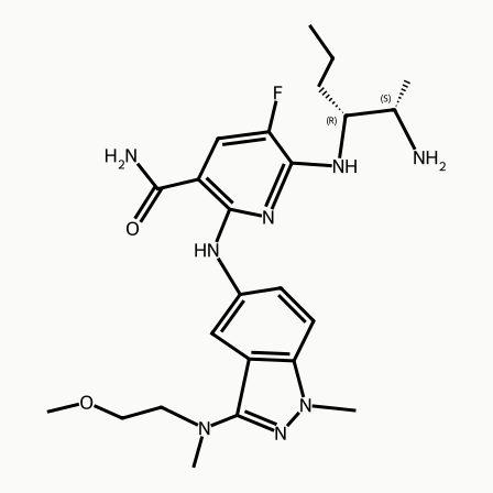 CCC[C@@H](Nc1nc(Nc2ccc3c(c2)c(N(C)CCOC)nn3C)c(C(N)=O)cc1F)[C@H](C)N